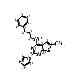 Cc1cc2c(NCCCc3ccccc3)nc(-n3ccnc3)nc2s1